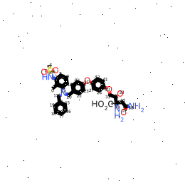 Cc1c(NS(C)(=O)=O)cccc1N(Cc1ccccc1)Cc1ccc(Oc2ccc(OCC(=O)[C@](N)(CC(N)=O)C(=O)O)cc2)cc1